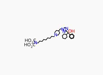 O=C(O)N(CCCCCCCCCN1CCC(Cn2cnc(C(O)(c3ccccc3)C3CCCCC3)n2)CC1)C(=O)O